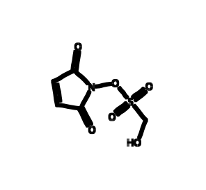 O=C1C=CC(=O)N1OS(=O)(=O)CO